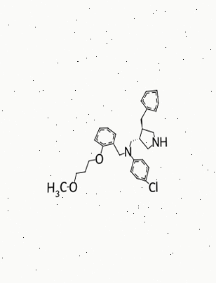 COCCCOc1ccccc1CN(C[C@H]1CNC[C@@H]1Cc1ccccc1)c1ccc(Cl)cc1